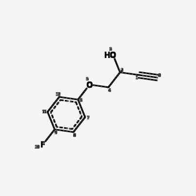 C#CC(O)COc1ccc(F)cc1